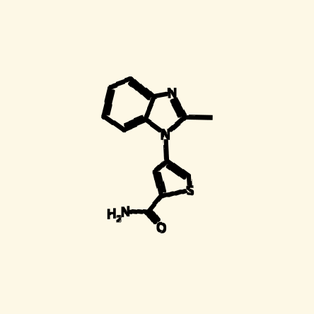 Cc1nc2ccccc2n1-c1csc(C(N)=O)c1